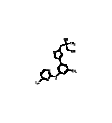 Cc1cc(Nc2nccc(C)n2)cc(-c2cnn(CC(C)(O)CO)c2)c1